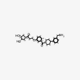 NCc1cccc(C2CCN(C(=O)c3cccc(OCCC(=O)N4C[C@@H](O)[C@H](O)C4)c3)CC2)c1